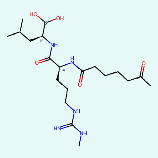 CNC(=N)NCCC[C@H](NC(=O)CCCCC(C)=O)C(=O)N[C@@H](CC(C)C)B(O)O